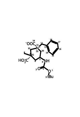 CC(C)(C)OC(=O)NC1C[C@](C)(C(=O)O)C[N@+](Cc2ccccc2)(C(=O)[O-])C1